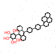 Oc1c(O)c(O)c(C2=c3ccccc3=C(c3ccc(-c4ccc(-c5ccc6ccc7cccc8ccc5c6c78)cc4)cc3)C3CC=CC=C23)c(O)c1O